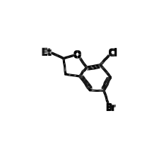 CCC1Cc2cc(Br)cc(Cl)c2O1